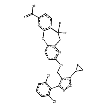 O=C(O)c1ccc2c(c1)Oc1ccc(OCc3c(-c4c(Cl)cccc4Cl)noc3C3CC3)nc1CC2(F)F